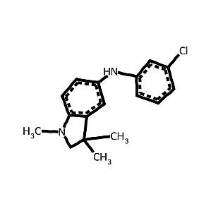 CN1CC(C)(C)c2cc(Nc3cccc(Cl)c3)ccc21